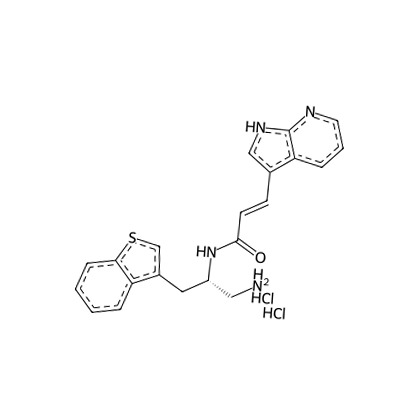 Cl.Cl.NC[C@H](Cc1csc2ccccc12)NC(=O)/C=C/c1c[nH]c2ncccc12